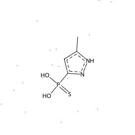 Cc1cc(P(O)(O)=S)n[nH]1